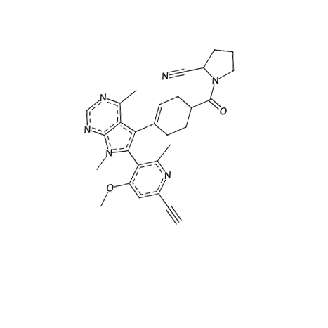 C#Cc1cc(OC)c(-c2c(C3=CCC(C(=O)N4CCCC4C#N)CC3)c3c(C)ncnc3n2C)c(C)n1